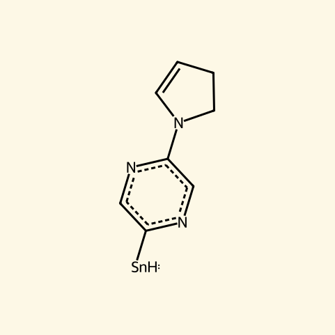 [SnH][c]1cnc(N2C=CCC2)cn1